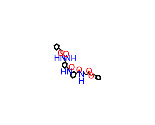 N=C(NC(=O)OCc1ccccc1)c1cccc(C(=O)Nc2cccc(C(=O)NCCC(=O)OCc3ccccc3)c2)c1